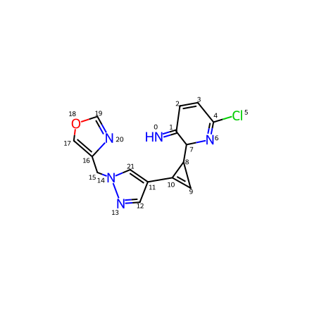 N=C1C=CC(Cl)=NC1C1C=C1c1cnn(Cc2cocn2)c1